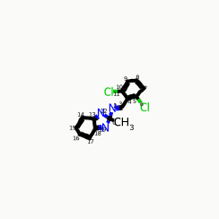 CC1(N=Cc2c(Cl)cccc2Cl)N=c2ccccc2=N1